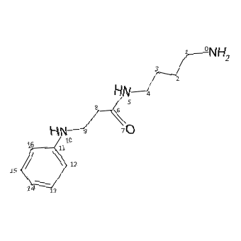 NCCCCNC(=O)CCNc1ccccc1